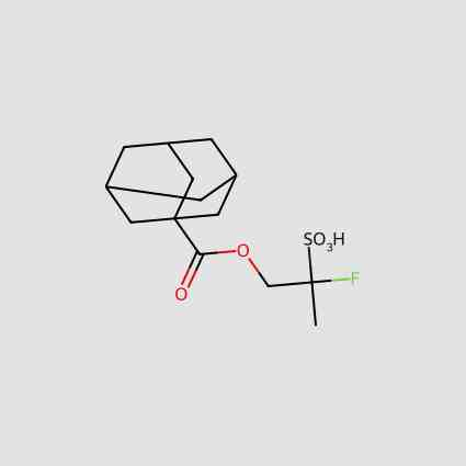 CC(F)(COC(=O)C12CC3CC(CC(C3)C1)C2)S(=O)(=O)O